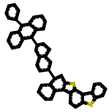 c1ccc(-c2c3ccccc3c(-c3ccc4cc(-c5cc6sc7c(ccc8sc9ccccc9c87)c6c6ccccc56)ccc4c3)c3ccccc23)cc1